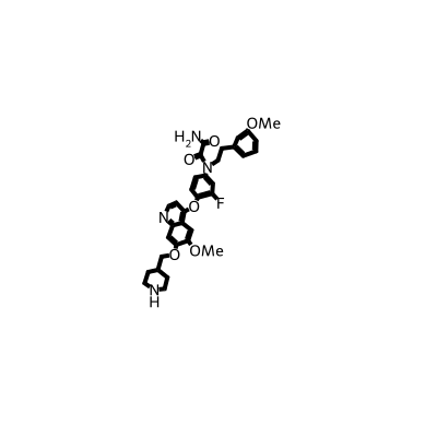 COc1cccc(CCN(C(=O)C(N)=O)c2ccc(Oc3ccnc4cc(OCC5CCNCC5)c(OC)cc34)c(F)c2)c1